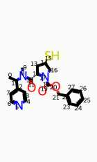 CC(c1ccncc1)N(C)C(=O)[C@@H]1C[C@H](S)CN1C(=O)OCc1ccccc1